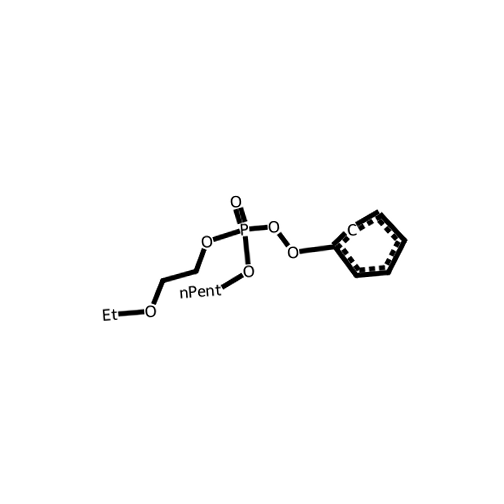 CCCCCOP(=O)(OCCOCC)OOc1ccccc1